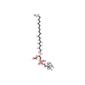 CCCCCCCCCCCCCCCCCCOC[C@H](COP(=O)(O)OCC[N+](C)(C)C)OC=O